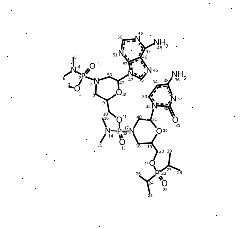 COP(=O)(N(C)C)N1CC(COP(=O)(N(C)C)N2CC(COP(=O)(C(C)C)C(C)C)OC(n3ccc(N)nc3=O)C2)OC(n2cnc3c(N)ncnc32)C1